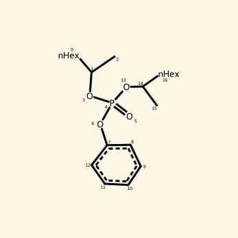 CCCCCCC(C)OP(=O)(Oc1ccccc1)OC(C)CCCCCC